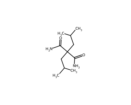 CC(C)CC(CC(C)C)(C(N)=O)C(N)=O